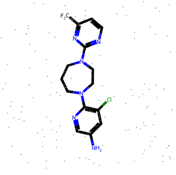 Nc1cnc(N2CCCN(c3nccc(C(F)(F)F)n3)CC2)c(Cl)c1